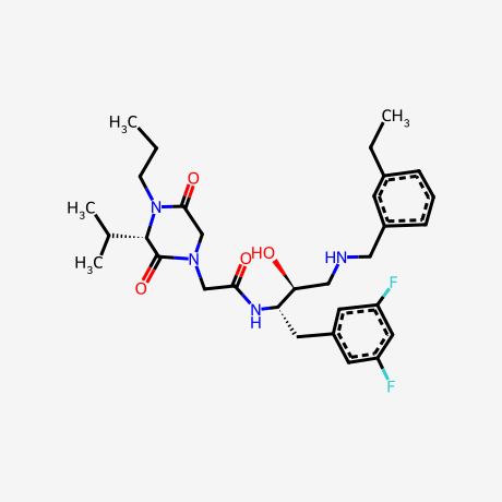 CCCN1C(=O)CN(CC(=O)N[C@@H](Cc2cc(F)cc(F)c2)[C@@H](O)CNCc2cccc(CC)c2)C(=O)[C@@H]1C(C)C